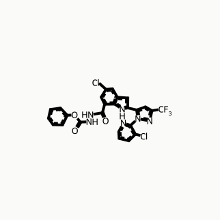 O=C(NNC(=O)c1cc(Cl)cc2cc(-c3cc(C(F)(F)F)nn3-c3ncccc3Cl)[nH]c12)Oc1ccccc1